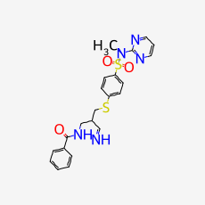 CN(c1ncccn1)S(=O)(=O)c1ccc(SCC(C=N)CNC(=O)c2ccccc2)cc1